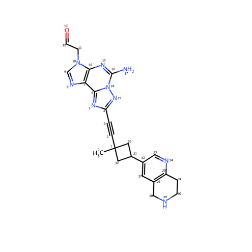 CC1(C#Cc2nc3c4ncn(CC=O)c4nc(N)n3n2)CC(c2cnc3c(c2)CNCC3)C1